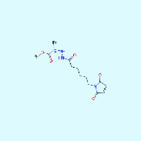 [2H]OC(=O)[C@@H](NNC(=O)CCCCCN1C(=O)C=CC1=O)C(C)C